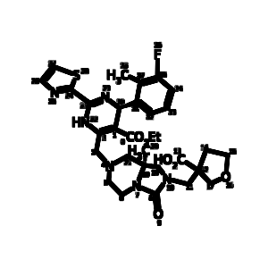 CCOC(=O)C1=C(CN2CCN3C(=O)N(CC4(C(=O)O)CCOC4)C[C@]3(C)C2)NC(c2nccs2)=N[C@H]1c1cccc(F)c1C